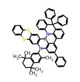 Cc1cc2c(cc1N1c3cc4c(cc3B3c5c(cc(-c6ccccc6)cc51)-c1cccc5c1N3c1ccccc1C5(c1ccccc1)c1ccccc1)Sc1ccccc1S4)C(C)(C)CCC2(C)C